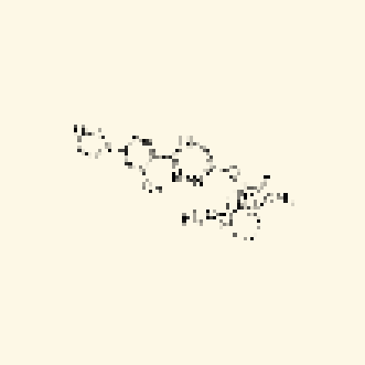 C[C@]12CCC[C@](C)(N1)[C@H](F)[C@H](Oc1cnc(-c3ccc(-n4ccnc4)cc3O)nn1)C2